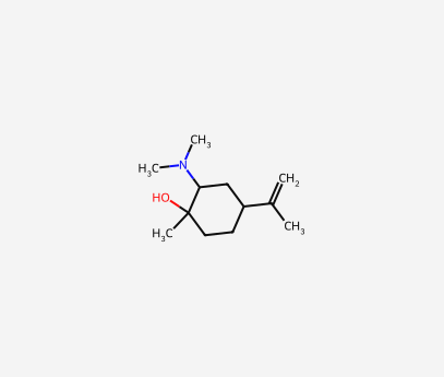 C=C(C)C1CCC(C)(O)C(N(C)C)C1